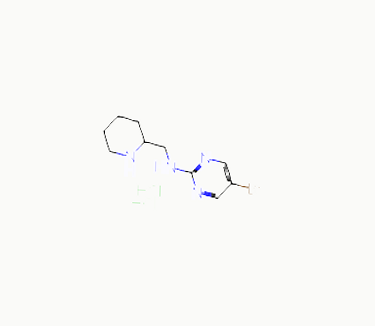 Brc1cnc(NCC2CCCCN2)nc1.Cl.Cl